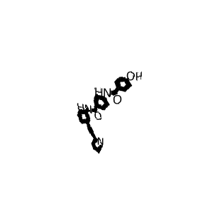 O=C(Nc1ccc(C(=O)Nc2cccc(C#Cc3ccccn3)c2)cc1)c1ccc(O)cc1